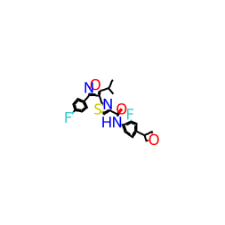 CC(C)c1onc(-c2ccc(F)cc2)c1-c1nc(C(=O)Nc2ccc(C3COC3)cc2F)cs1